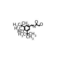 CC(C)(C)c1cc(C=NC(=O)C=O)cc(C(C)(C)C)c1O